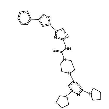 S=C(Nc1nc(-c2cc(-c3ccccc3)cs2)cs1)N1CCN(c2cc(N3CCCC3)nc(N3CCCC3)n2)CC1